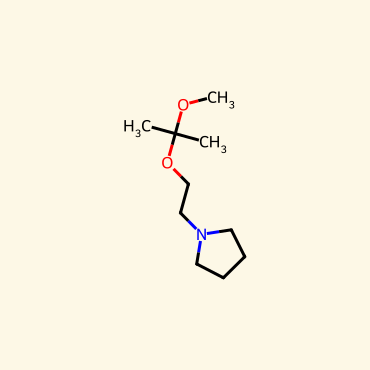 COC(C)(C)OCCN1CCCC1